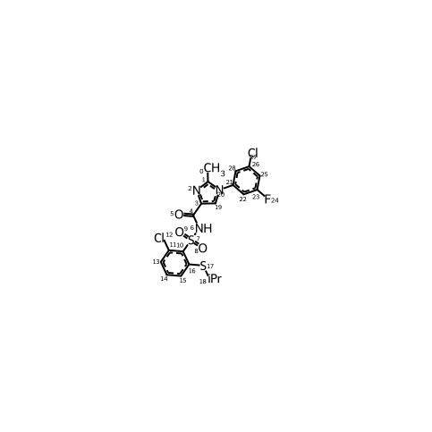 Cc1nc(C(=O)NS(=O)(=O)c2c(Cl)cccc2SC(C)C)cn1-c1cc(F)cc(Cl)c1